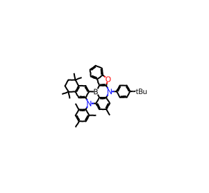 Cc1cc(C)c(N2c3cc4c(cc3B3c5c(cc(C)cc52)N(c2ccc(C(C)(C)C)cc2)c2oc5ccccc5c23)C(C)(C)CCC4(C)C)c(C)c1